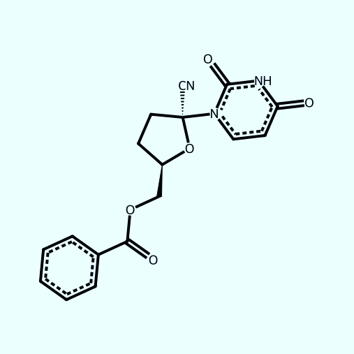 N#C[C@@]1(n2ccc(=O)[nH]c2=O)CC[C@H](COC(=O)c2ccccc2)O1